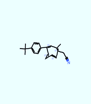 CC1=C(CC#N)/C=C/C=C/C(c2ccc(C(C)(C)C)cc2)=C\1